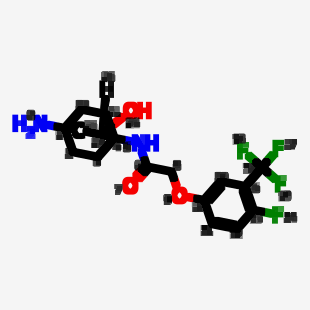 NC12CCC(NC(=O)COc3ccc(F)c(C(F)(F)F)c3)(CC1)[C@@H](O)C2